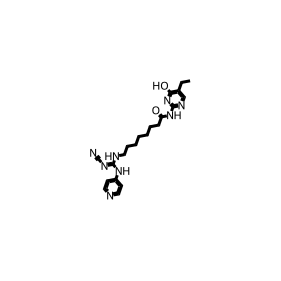 CCc1cnc(NC(=O)CCCCCCCN/C(=N\C#N)Nc2ccncc2)nc1O